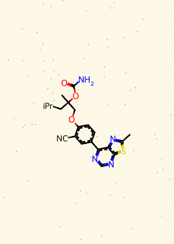 Cc1nc2c(-c3ccc(OCC(C)(CC(C)C)OC(N)=O)c(C#N)c3)ncnc2s1